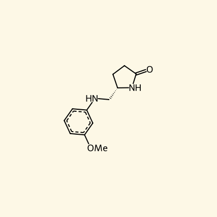 COc1cccc(NC[C@@H]2CCC(=O)N2)c1